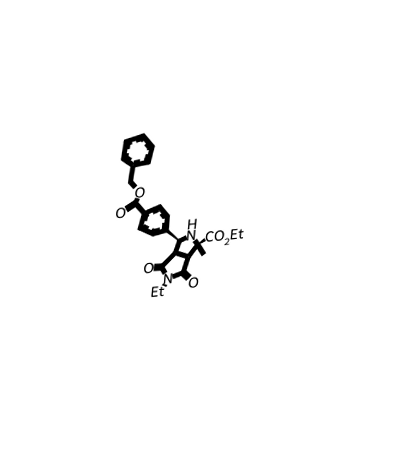 CCOC(=O)[C@]1(C)N[C@H](c2ccc(C(=O)OCc3ccccc3)cc2)C2C(=O)N(CC)C(=O)C21